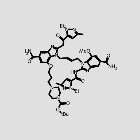 CCn1nc(C)cc1C(=O)Cc1nc2cc(C(N)=O)cc(OCCCN3CCN(C(=O)OC(C)(C)C)CC3)c2n1C/C=C/Cn1c(NC(=O)c2cc(C)nn2CC)nc2cc(C(N)=O)cc(OC)c21